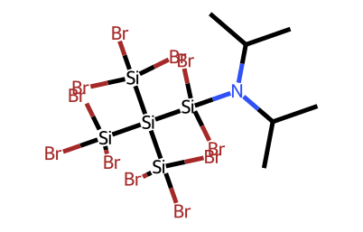 CC(C)N(C(C)C)[Si](Br)(Br)[Si]([Si](Br)(Br)Br)([Si](Br)(Br)Br)[Si](Br)(Br)Br